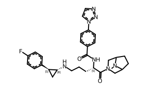 CN1C2CCC1CN(C(=O)[C@H](CCCN[C@@H]1C[C@H]1c1ccc(F)cc1)NC(=O)c1ccc(-n3ccnn3)cc1)C2